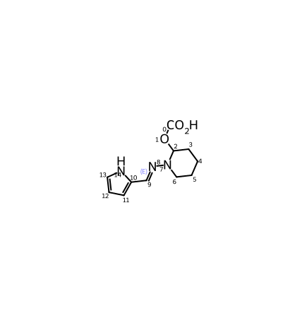 O=C(O)OC1CCCCN1/N=C/c1ccc[nH]1